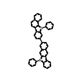 c1ccc(-n2c3ccccc3c3cc4ccc(-c5ccc6c7ccc8ccccc8c7n(-c7ccccc7)c6c5)cc4cc32)cc1